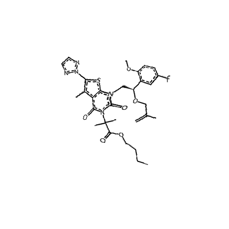 C=C(C)CO[C@@H](Cn1c(=O)n(C(C)(C)C(=O)OCCCC)c(=O)c2c(C)c(-n3nccn3)sc21)c1cc(F)ccc1OC